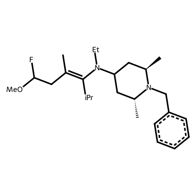 CCN(/C(=C(\C)CC(F)OC)C(C)C)C1C[C@@H](C)N(Cc2ccccc2)[C@H](C)C1